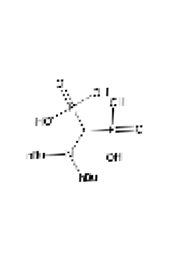 CCCCN(CCCC)C(P(=O)(O)O)P(=O)(O)O